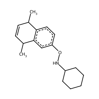 CC1C=CC(C)c2cc(ONC3CCCCC3)ccc21